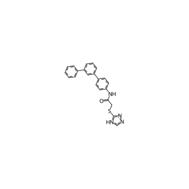 O=C(CSc1nnc[nH]1)Nc1ccc(-c2cccc(-c3ccccc3)c2)cc1